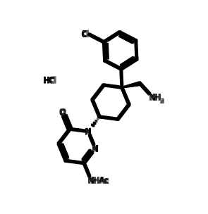 CC(=O)Nc1ccc(=O)n([C@H]2CC[C@@](CN)(c3cccc(Cl)c3)CC2)n1.Cl